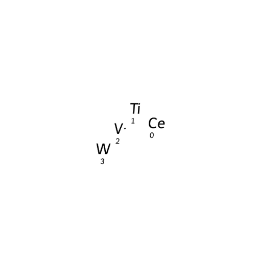 [Ce].[Ti].[V].[W]